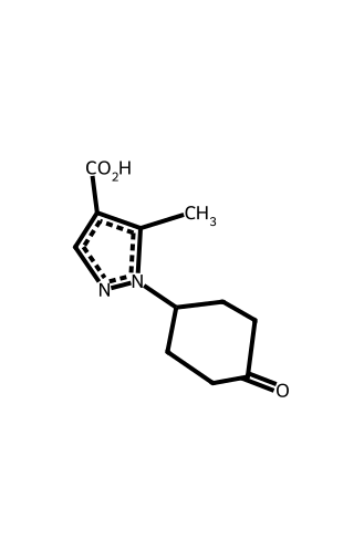 Cc1c(C(=O)O)cnn1C1CCC(=O)CC1